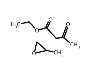 CC1CO1.CCOC(=O)CC(C)=O